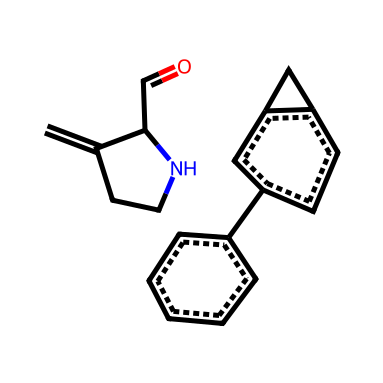 C=C1CCNC1C=O.c1ccc(-c2ccc3c(c2)C3)cc1